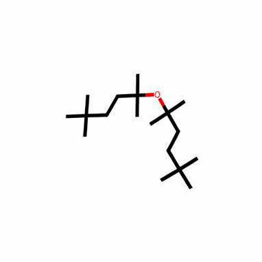 CC(C)(C)CCC(C)(C)OC(C)(C)CCC(C)(C)C